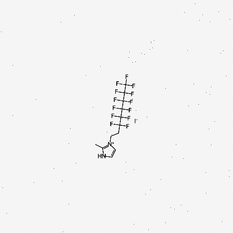 Cc1[nH]cc[n+]1CCC(F)(F)C(F)(F)C(F)(F)C(F)(F)C(F)(F)C(F)(F)F.[I-]